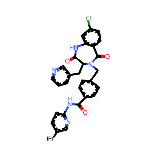 CC(C)c1ccc(NC(=O)c2ccc(CN3C(=O)c4ccc(Cl)cc4NC(=O)C3Cc3cccnc3)cc2)nc1